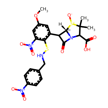 COc1cc(C2C(=O)N3C(C(=O)O)C(C)(C)[S+]([O-])[C@@H]23)c(SNCc2ccc([N+](=O)[O-])cc2)c([N+](=O)[O-])c1